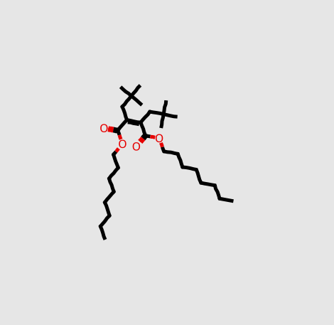 CCCCCCCCOC(=O)C(CC(C)(C)C)=C(CC(C)(C)C)C(=O)OCCCCCCCC